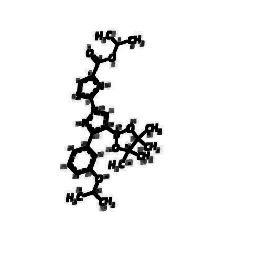 CC(C)OC(=O)c1csc(-n2cc(B3OC(C)(C)C(C)(C)O3)c(-c3cccc(OC(C)C)c3)n2)n1